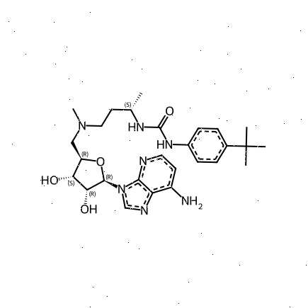 C[C@@H](CCN(C)C[C@H]1O[C@@H](n2cnc3c(N)ccnc32)[C@H](O)[C@@H]1O)NC(=O)Nc1ccc(C(C)(C)C)cc1